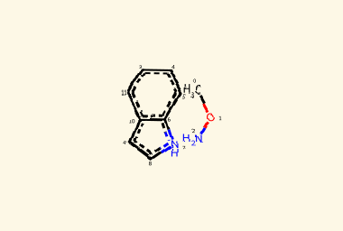 CON.c1ccc2[nH]ccc2c1